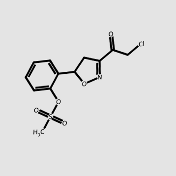 CS(=O)(=O)Oc1ccccc1C1CC(C(=O)CCl)=NO1